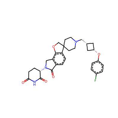 O=C1CC[C@H](N2Cc3c(ccc4c3OCC43CCN(C[C@H]4C[C@@H](Oc5ccc(F)cc5)C4)CC3)C2=O)C(=O)N1